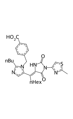 CCCCCCC(=C1NC(=O)N(c2csc(C)n2)C1=O)c1cnc(CCCC)n1Cc1ccc(C(=O)O)cc1